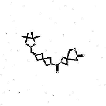 CC1(C)OB(C=C2CC3(C2)CN(C(=O)N2CC4(COC(=O)N4)C2)C3)OC1(C)C